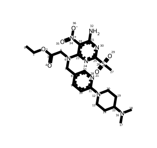 CCOC(=O)CN(Cc1ccc(N2CCC(N(C)C)CC2)nc1)c1nc(S(C)(=O)=O)nc(N)c1[N+](=O)[O-]